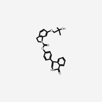 CC(C)(O)COc1ccc2c(c1)N(C(=O)Oc1ccc(-c3c[nH]c(=O)c4ccccc34)cc1)CC2